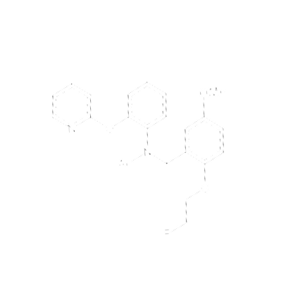 COc1ccc(OCCF)c(CN(C(C)=O)c2ccccc2Oc2ccccn2)c1